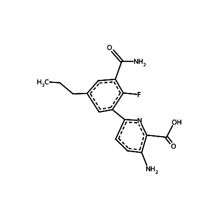 CCCc1cc(C(N)=O)c(F)c(-c2ccc(N)c(C(=O)O)n2)c1